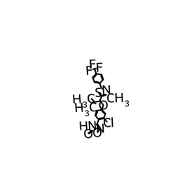 Cc1nc(-c2ccc(C(F)(F)F)cc2)sc1C(Oc1ccc(-c2noc(=O)[nH]2)c(Cl)c1)C(C)C